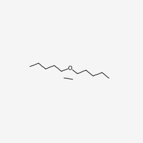 CC.CCCCCOCCCCC